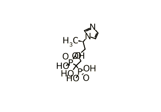 C[C@H](COCC(O)(P(=O)(O)O)P(=O)(O)O)n1ccnc1